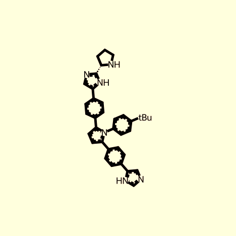 CC(C)(C)c1ccc(-n2c(-c3ccc(-c4cnc[nH]4)cc3)ccc2-c2ccc(-c3cnc([C@@H]4CCCN4)[nH]3)cc2)cc1